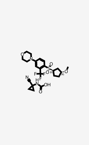 CO[C@@H]1CC[C@@H](S(=O)(=O)c2ccc(N3CCOCC3)cc2C(F)(F)F)C1.N#CC1(NC(=O)O)CC1